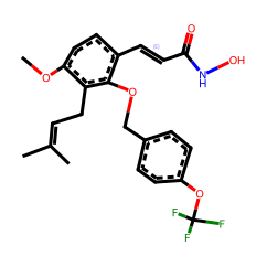 COc1ccc(/C=C/C(=O)NO)c(OCc2ccc(OC(F)(F)F)cc2)c1CC=C(C)C